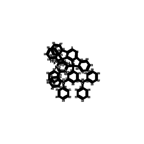 CC1(C)c2c(ccc3c2C(c2cc(N(c4ccccc4)c4ccccc4)cc(N(c4ccccc4)c4ccccc4)c2)(c2nc(-c4ccccc4)nc(-c4ccccc4)n2)c2ccccc2-3)C2C=CC=CC21